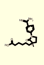 C[C@]1(CCCCCC(=O)O)CCN(c2ccc(C(=N)N)cc2)C1=O